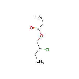 CCC(=O)OCC(Cl)CC